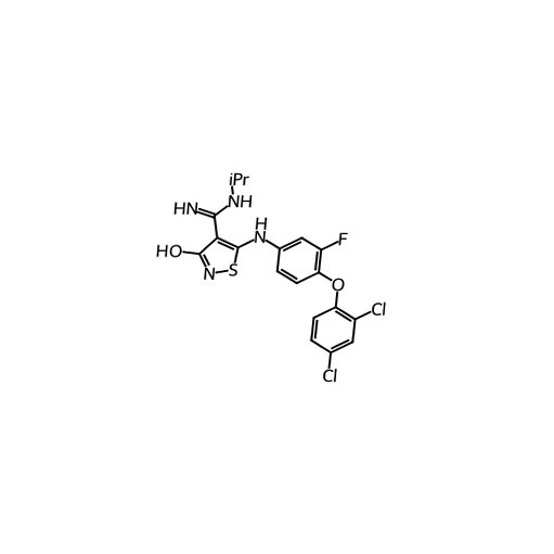 CC(C)NC(=N)c1c(O)nsc1Nc1ccc(Oc2ccc(Cl)cc2Cl)c(F)c1